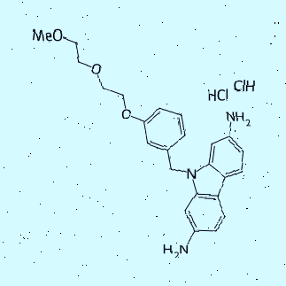 COCCOCCOc1cccc(Cn2c3cc(N)ccc3c3ccc(N)cc32)c1.Cl.Cl